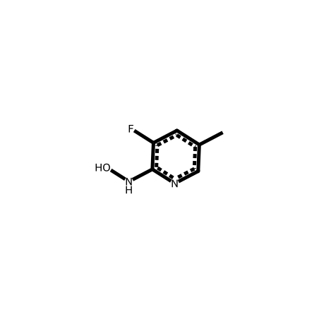 Cc1cnc(NO)c(F)c1